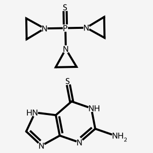 Nc1nc2nc[nH]c2c(=S)[nH]1.S=P(N1CC1)(N1CC1)N1CC1